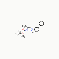 C[C@@H](CN1CCc2ccc(-c3ccccc3)cc21)NC(=O)OC(C)(C)C